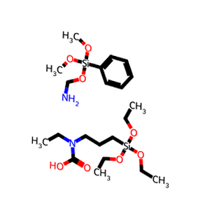 CCO[Si](CCCN(CC)C(=O)O)(OCC)OCC.CO[Si](OC)(OCN)c1ccccc1